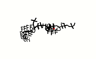 CCC(C)(C)CCC(C)(CC)C(C)(C)C(CC(C)(C)C(C)(C)CCC(C)(C)C(C)(C)C(CC(C)(C)C)OC(F)(F)C(F)(F)C(F)(F)C(F)(F)S(=O)(=O)O)OC(F)(F)C(F)(F)S(=O)(=O)O